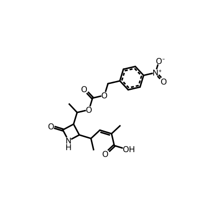 CC(=CC(C)C1NC(=O)C1C(C)OC(=O)OCc1ccc([N+](=O)[O-])cc1)C(=O)O